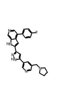 Fc1ccc(-c2cncc3[nH]c(-c4cc(-c5cncc(CN6CCCC6)c5)[nH]n4)cc23)cc1